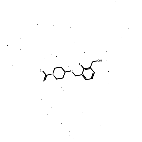 CCC(=O)N1CCC(OCc2cccc(CO)c2F)CC1